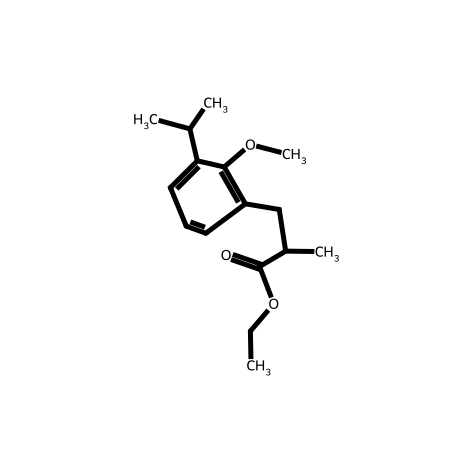 CCOC(=O)C(C)Cc1cccc(C(C)C)c1OC